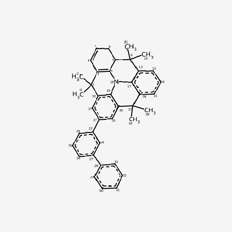 CC1(C)C2=C3C(CC=C2)C(C)(C)c2cccc4c2N3c2c1cc(-c1cccc(-c3ccccc3)c1)cc2C4(C)C